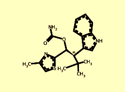 Cc1csc(C(OC(N)=O)[C@@H](c2c[nH]c3ccccc23)C(C)(C)C)n1